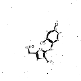 O=CCc1cc([N+](=O)[O-])c(Sc2ccc(Cl)cc2Cl)s1